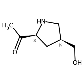 CC(=O)[C@@H]1C[C@H](CO)CN1